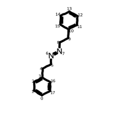 c1ccc(CCN=NCCc2ccccc2)cc1